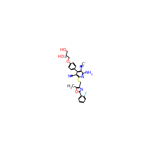 [C-]#[N+]c1c(N)nc(SCc2nc(-c3ccccc3F)oc2C)c(C#N)c1-c1ccc(OC[C@H](O)CO)cc1